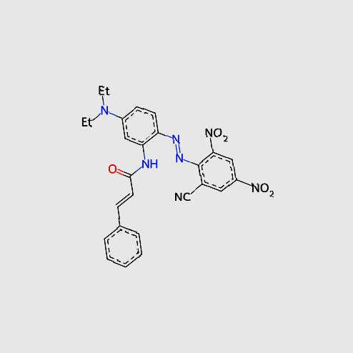 CCN(CC)c1ccc(N=Nc2c(C#N)cc([N+](=O)[O-])cc2[N+](=O)[O-])c(NC(=O)C=Cc2ccccc2)c1